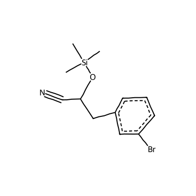 C[Si](C)(C)OC(C#N)Cc1cccc(Br)c1